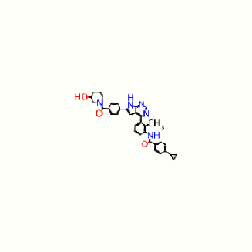 Cc1c(NC(=O)c2ccc(C3CC3)cc2)cccc1-c1ncnc2[nH]c(-c3ccc(C(=O)N4CCCC(O)C4)cc3)cc12